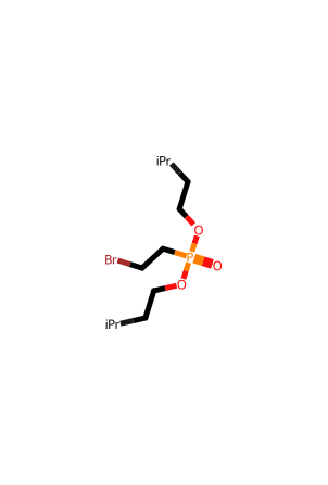 CC(C)CCOP(=O)(CCBr)OCCC(C)C